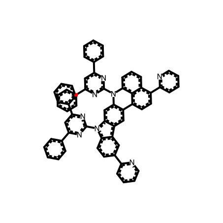 c1ccc(-c2cc(-c3ccccc3)nc(N3c4cc5c(cc4-c4ccc(-c6ccccn6)c6cccc3c46)c3cc(-c4ccccn4)ccc3n5-c3nc(-c4ccccc4)cc(-c4ccccc4)n3)n2)cc1